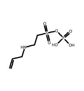 C=CCNCCS(=O)(=O)OP(=O)(O)O